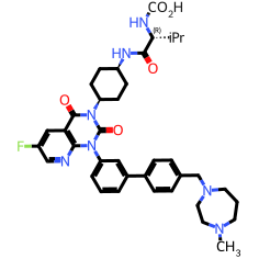 CC(C)[C@@H](NC(=O)O)C(=O)N[C@H]1CC[C@@H](n2c(=O)c3cc(F)cnc3n(-c3cccc(-c4ccc(CN5CCCN(C)CC5)cc4)c3)c2=O)CC1